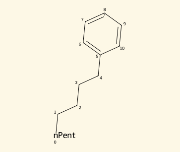 CCCCCCCCCc1cc[c]cc1